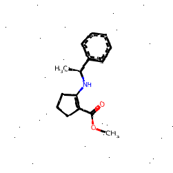 COC(=O)C1=C(N[C@@H](C)c2ccccc2)CCC1